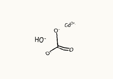 O=C([O-])[O-].[Gd+3].[OH-]